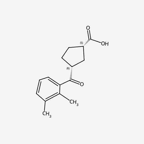 Cc1cccc(C(=O)[C@@H]2CC[C@H](C(=O)O)C2)c1C